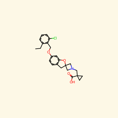 CCc1cccc(Cl)c1COc1ccc2c(c1)OC1(C2)CN(CC2(C(=O)O)CC2)C1